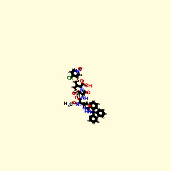 CO/N=C(\C(=O)N[C@@H]1C(=O)N2C(C(=O)O)=C(CSc3c[n+]([O-])ccc3Cl)C[S+]([O-])[C@H]12)c1csc(NC(c2ccccc2)(c2ccccc2)c2ccccc2)n1